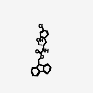 O=C(N[C@H](CO)Cc1ccc(Cl)cc1)OCC1c2ccccc2-c2ccccc21